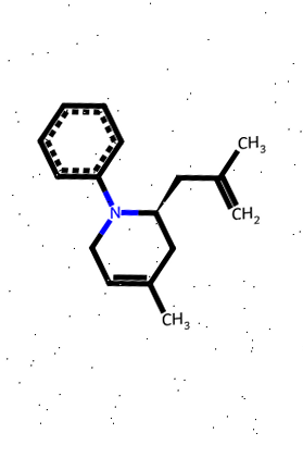 C=C(C)C[C@H]1CC(C)=CCN1c1ccccc1